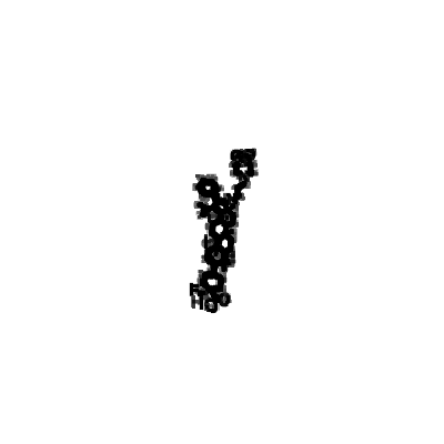 CC(C)C1=C2[C@H]3CC[C@@H]4[C@@]5(C)CC=C(C6=CC[C@](CF)(C(=O)O)CC6)C(C)(C)[C@@H]5CC[C@@]4(C)[C@]3(C)CC[C@@]2(CNCCCN2CCS(=O)(=O)CC2)C=C1c1ccccc1